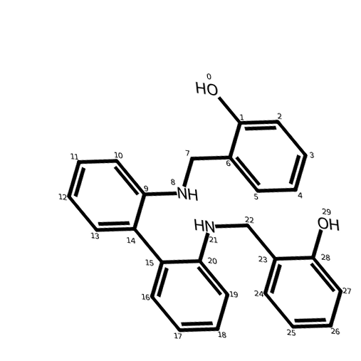 Oc1ccccc1CNc1ccccc1-c1ccccc1NCc1ccccc1O